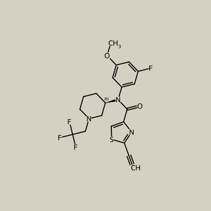 C#Cc1nc(C(=O)N(c2cc(F)cc(OC)c2)[C@@H]2CCCN(CC(F)(F)F)C2)cs1